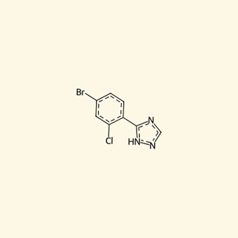 Clc1cc(Br)ccc1-c1ncn[nH]1